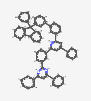 c1ccc(-c2cc(-c3cccc(-c4cccc(C5(c6ccccc6)c6ccccc6-c6ccccc65)c4)c3)nc(-c3cccc(-c4nc(-c5ccccc5)cc(-c5ccccc5)n4)c3)c2)cc1